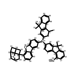 CC1CC(N(c2ccc3c(c2)C(C)(C)c2cccc(C(C)(C)C)c2-3)c2ccc3oc4c(C56CC7CC8CC(C5)C86C7)cccc4c3c2)=CC2=C1c1ccccc1C2(C)C